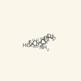 CC1(C2CC2)Cc2cc(N)c(N3CCC(F)(CO)CC3)cc2O1